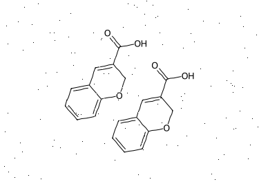 O=C(O)C1=Cc2ccccc2OC1.O=C(O)C1=Cc2ccccc2OC1